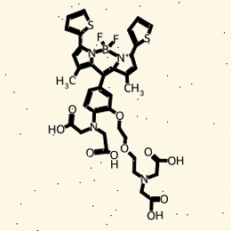 CC1=CC(c2cccs2)=[N+]2C1=C(c1ccc(N(CC(=O)O)CC(=O)O)c(OCCOCCN(CC(=O)O)CC(=O)O)c1)c1c(C)cc(-c3cccs3)n1[B-]2(F)F